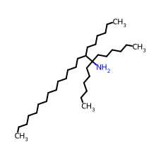 CCCCCCCCCCCCCCC(CCCCCC)C(N)(CCCCCC)CCCCCC